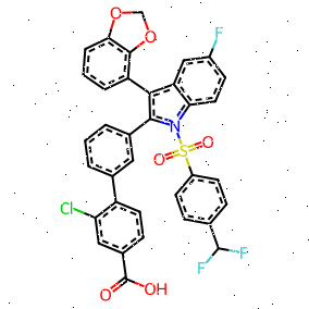 O=C(O)c1ccc(-c2cccc(-c3c(-c4cccc5c4OCO5)c4cc(F)ccc4n3S(=O)(=O)c3ccc(C(F)F)cc3)c2)c(Cl)c1